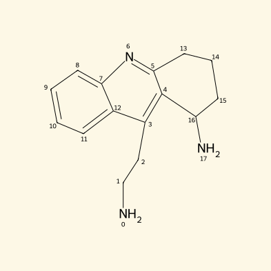 NCCc1c2c(nc3ccccc13)CCCC2N